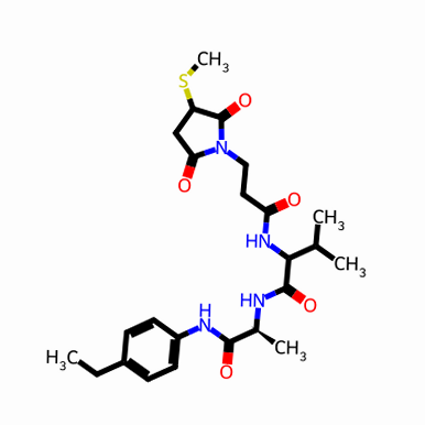 CCc1ccc(NC(=O)[C@H](C)NC(=O)C(NC(=O)CCN2C(=O)CC(SC)C2=O)C(C)C)cc1